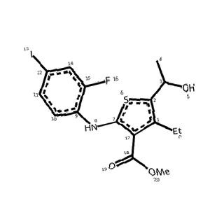 CCc1c(C(C)O)sc(Nc2ccc(I)cc2F)c1C(=O)OC